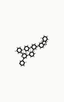 c1ccc(-c2cc(-c3cccc(-c4cc(-c5ccc6sc7ccccc7c6c5)ccc4-c4ccccc4)c3)cc(-c3ccccc3)n2)cc1